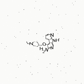 CCN1CCC(COc2c(N)ncc3[nH]c4ncccc4c23)CC1